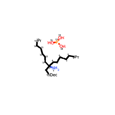 CCCCCCCCCCCC(N)(CCCCCC(C)C)CCCCCC(C)C.OP(O)O